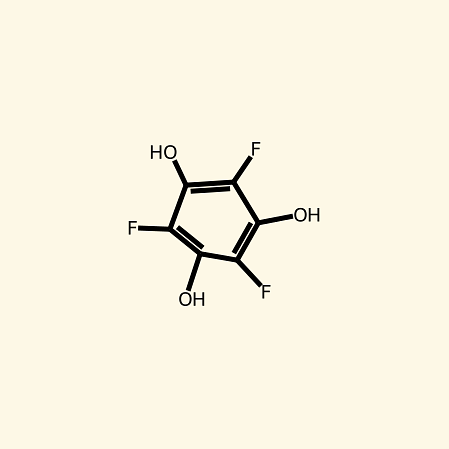 Oc1c(F)c(O)c(F)c(O)c1F